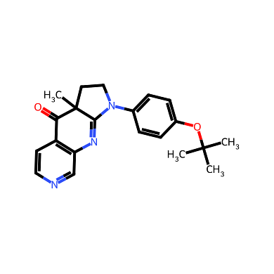 CC(C)(C)Oc1ccc(N2CCC3(C)C(=O)c4ccncc4N=C23)cc1